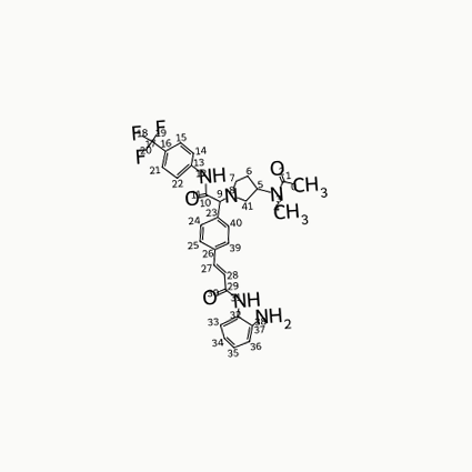 CC(=O)N(C)C1CCN(C(C(=O)Nc2ccc(C(F)(F)F)cc2)c2ccc(/C=C/C(=O)Nc3ccccc3N)cc2)C1